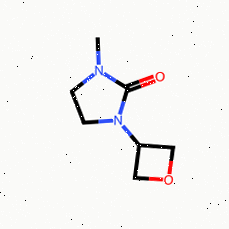 CN1CCN(C2COC2)C1=O